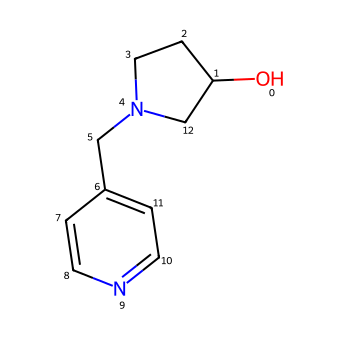 OC1CCN(Cc2ccncc2)C1